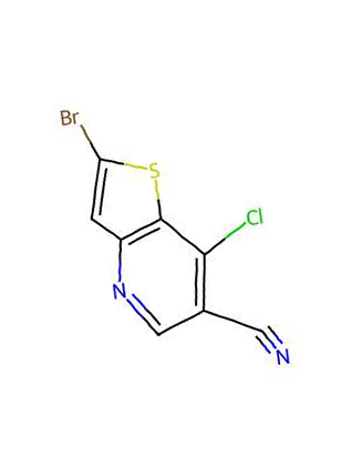 N#Cc1cnc2cc(Br)sc2c1Cl